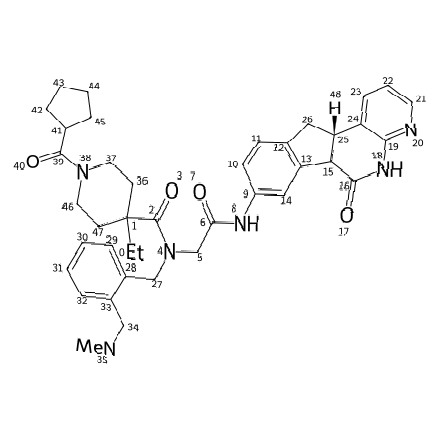 CCC1(C(=O)N(CC(=O)Nc2ccc3c(c2)C2C(=O)Nc4ncccc4[C@H]2C3)Cc2ccccc2CNC)CCN(C(=O)C2CCCC2)CC1